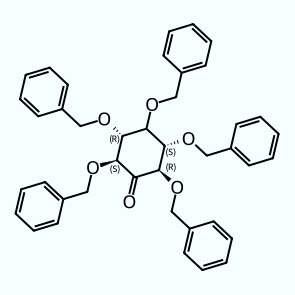 O=C1[C@@H](OCc2ccccc2)[C@H](OCc2ccccc2)C(OCc2ccccc2)[C@H](OCc2ccccc2)[C@H]1OCc1ccccc1